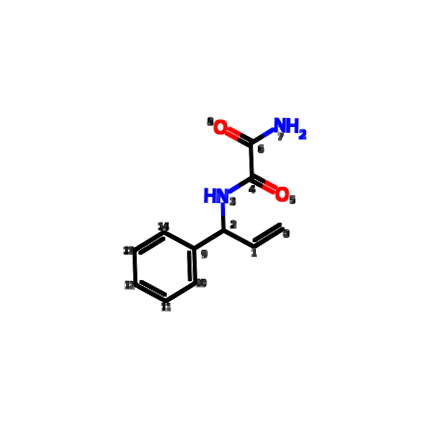 C=CC(NC(=O)C(N)=O)c1ccccc1